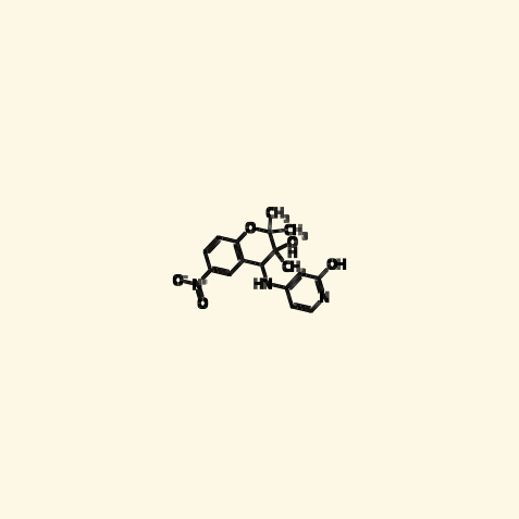 CC1(C)Oc2ccc([N+](=O)[O-])cc2C(Nc2ccnc(O)c2)C1(C)O